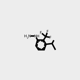 CC(C)c1cccc(NN)c1C(F)(F)F